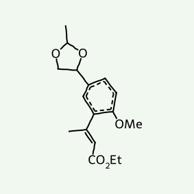 CCOC(=O)C=C(C)c1cc(C2COC(C)O2)ccc1OC